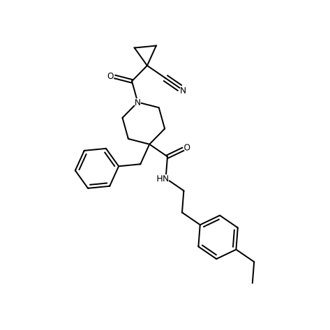 CCc1ccc(CCNC(=O)C2(Cc3ccccc3)CCN(C(=O)C3(C#N)CC3)CC2)cc1